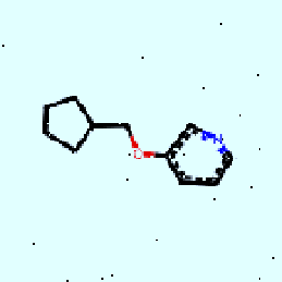 [c]1ccc(OCC2CCCC2)cn1